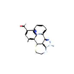 CCn1nc(-c2ccccn2)c2c1NCCSC2c1ccc(C(=O)Cl)cc1C